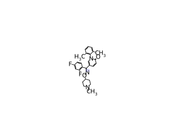 Cc1cccc(C)c1-n1cc(/C(=N/OC2CCN(C)CC2)c2ccc(F)cc2F)ccc1=O